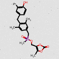 Cc1cc(CP(C)(=O)OCc2oc(=O)oc2C)cc(C)c1Cc1ccc(O)c(C(C)C)c1